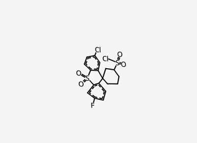 O=S1(=O)c2ccc(Cl)cc2C2(CCCC(S(=O)(=O)Cl)C2)c2ccc(F)cc21